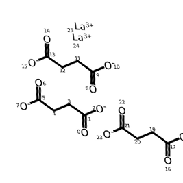 O=C([O-])CCC(=O)[O-].O=C([O-])CCC(=O)[O-].O=C([O-])CCC(=O)[O-].[La+3].[La+3]